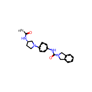 CCCC(=O)N[C@@H]1CCN(c2ccc(NC(=O)N3Cc4ccccc4C3)cc2)C1